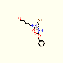 O=CCCCCNC(=O)[C@H](CCS)NC(=O)OCc1ccccc1